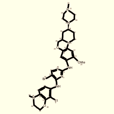 CCc1c(Nc2nc(Nc3cc4c(cc3OC)N3CC[C@H](N5CCN(C)CC5)CC3CO4)ncc2Br)ccc2c1OCCN2C